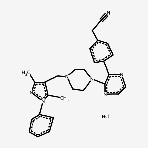 Cc1nn(-c2ccccc2)c(C)c1CN1CCN(c2nccnc2-c2ccc(CC#N)cc2)CC1.Cl